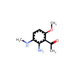 CNc1ccc(OC)c(C(C)=O)c1N